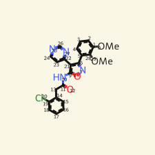 COc1cccc(-c2noc(NC(=O)Cc3ccccc3Cl)c2-c2ccncn2)c1OC